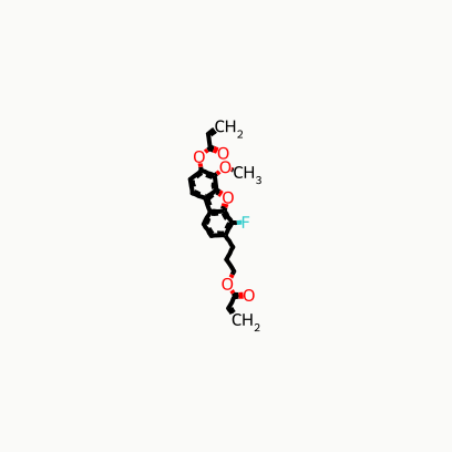 C=CC(=O)OCCCc1ccc2c(oc3c(OC)c(OC(=O)C=C)ccc32)c1F